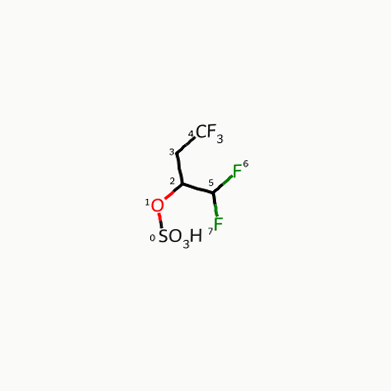 O=S(=O)(O)OC(CC(F)(F)F)C(F)F